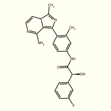 Cc1cc(NC(=O)[C@@H](O)c2cccc(F)c2)ccc1-c1nc(C)n2ccnc(N)c12